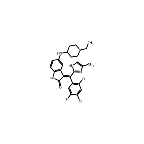 CCN1CCC(Nc2ccc3c(c2)C(=C(c2nc(C)c[nH]2)c2cc(F)c(Cl)cc2Cl)C(=O)N3)CC1